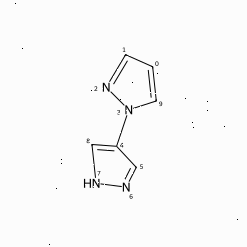 c1cnn(-c2cn[nH]c2)c1